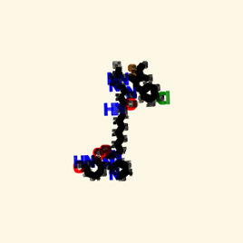 Cc1sc2c(c1C)C(c1ccc(Cl)cc1)=N[C@@H](CC(=O)NCCCCCCCn1c(=O)n(C3CCCC(=O)NC3=O)c3ncccc31)c1nnc(C)n1-2